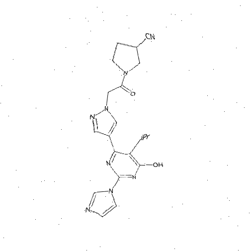 CC(C)c1c(O)nc(-n2ccnc2)nc1-c1cnn(CC(=O)N2CCC(C#N)C2)c1